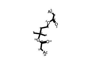 CC(=O)CC(=O)OCCC(C)(C)OC(=O)CC(C)=O